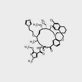 CC[C@H]1[C@@H](OC)/C=C/[C@H](OCCn2ccnc2)[C@H](C)CS(=O)(NC(=O)c2cn(C)nc2OC)=NC(=O)c2ccc3c(c2)N(C[C@@H]1C)C[C@@]1(CCCc2cc(Cl)ccc21)CO3